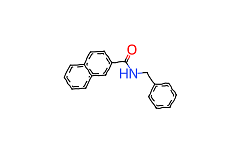 O=C(NCc1ccccc1)c1ccc2ccccc2c1